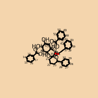 O=C(O[C@@H]1[C@H](O)[C@@H](O)[C@H](OC(=O)c2ccccc2)[C@H]2OC3(CCCC(c4ccccc4)O3)C3(CCCC(c4ccccc4)O3)O[C@@H]21)c1ccccc1